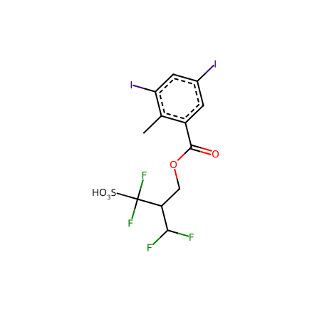 Cc1c(I)cc(I)cc1C(=O)OCC(C(F)F)C(F)(F)S(=O)(=O)O